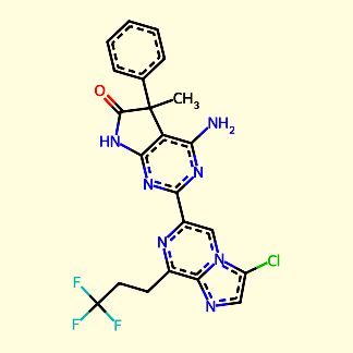 CC1(c2ccccc2)C(=O)Nc2nc(-c3cn4c(Cl)cnc4c(CCC(F)(F)F)n3)nc(N)c21